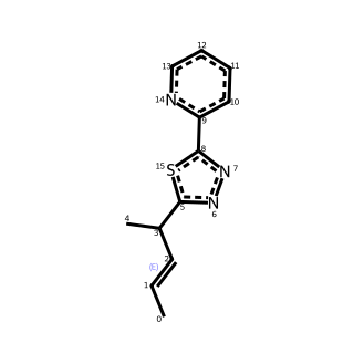 C/C=C/C(C)c1nnc(-c2ccccn2)s1